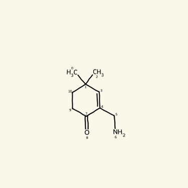 CC1(C)C=C(CN)C(=O)CC1